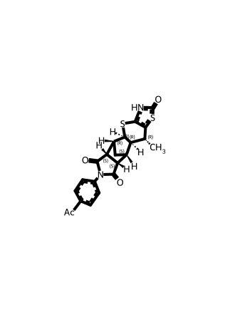 CC(=O)c1ccc(N2C(=O)[C@@H]3[C@H]4C[C@@H]([C@@H]3C2=O)[C@H]2[C@@H]4Sc3[nH]c(=O)sc3[C@@H]2C)cc1